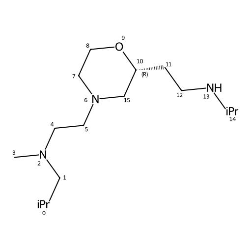 CC(C)CN(C)CCN1CCO[C@H](CCNC(C)C)C1